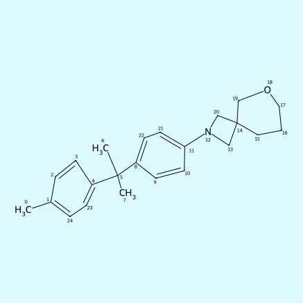 Cc1ccc(C(C)(C)c2ccc(N3CC4(CCCOC4)C3)cc2)cc1